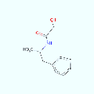 O=C(CO)N[C@H](Cc1ccccc1)C(=O)O